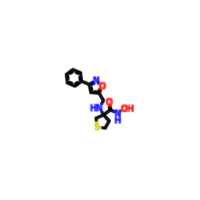 O=C(NO)C1(NCc2cc(-c3ccccc3)no2)CCSC1